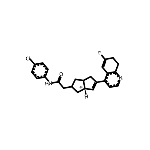 O=C(CC1CC2CC(c3ccnc4c3C=C(F)CC4)=C[C@@H]2C1)Nc1ccc(Cl)cc1